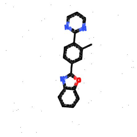 Cc1cc(-c2nc3ccccc3o2)ccc1-c1ncccn1